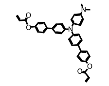 C=CC(=O)Oc1ccc(-c2ccc(N(c3ccc(-c4ccc(OC(=O)C=C)cc4)cc3)c3ccc(N(C)C)cc3)cc2)cc1